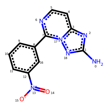 Nc1nc2ccnc(-c3cccc([N+](=O)[O-])c3)n2n1